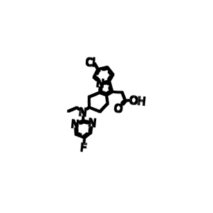 CCN(c1ncc(F)cn1)C1CCc2c(CC(=O)O)c3ccc(Cl)cn3c2C1